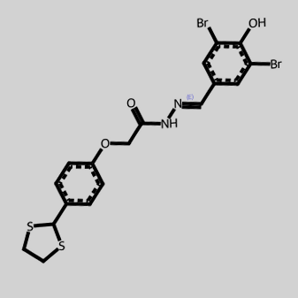 O=C(COc1ccc(C2SCCS2)cc1)N/N=C/c1cc(Br)c(O)c(Br)c1